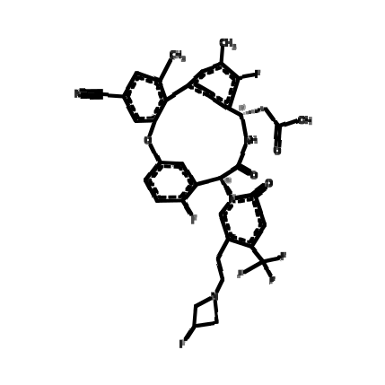 Cc1cc2cc(c1F)[C@H](CC(=O)O)NC(=O)[C@@H](n1cc(CCN3CC(F)C3)c(C(F)(F)F)cc1=O)c1cc(ccc1F)Oc1cc(C#N)cc(C)c1-2